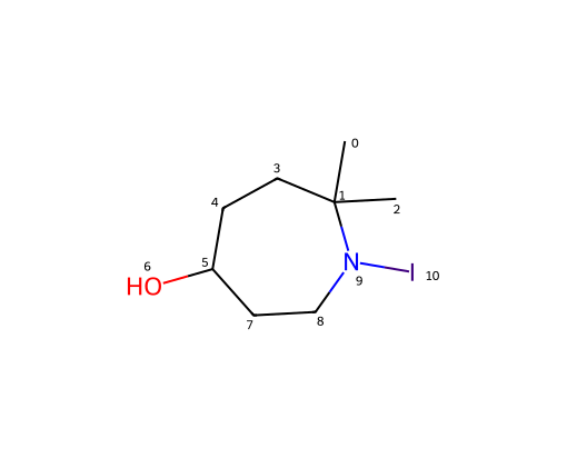 CC1(C)CCC(O)CCN1I